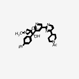 CC(=O)N1CCC(c2ccnc(-c3cncc([C@@](O)(c4ccc(C(C)C)cc4)C4(C)CN(C)C4)c3)n2)CC1